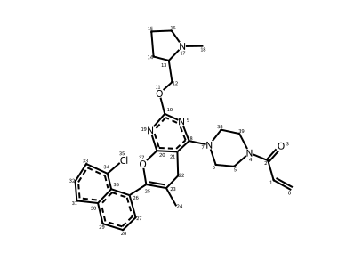 C=CC(=O)N1CCN(c2nc(OCC3CCCN3C)nc3c2CC(C)=C(c2cccc4cccc(Cl)c24)O3)CC1